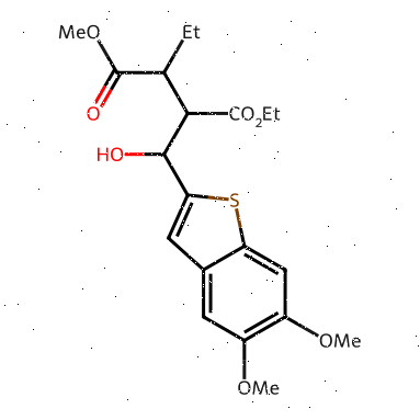 CCOC(=O)C(C(CC)C(=O)OC)C(O)c1cc2cc(OC)c(OC)cc2s1